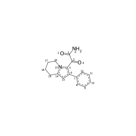 NC(=O)C(=O)c1c(-c2ccccc2)cc2n1CCCC2